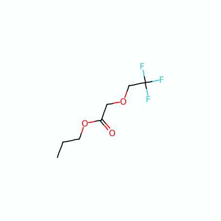 CCCOC(=O)COCC(F)(F)F